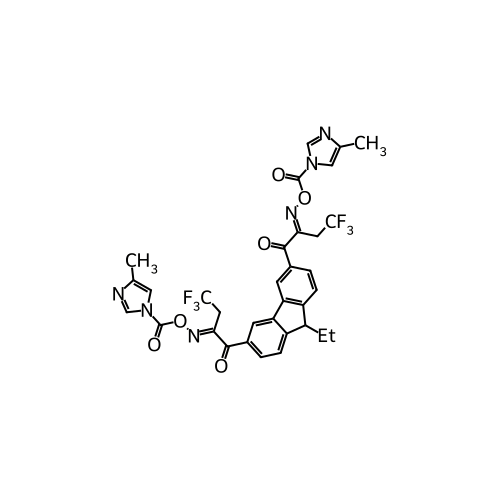 CCC1c2ccc(C(=O)/C(CC(F)(F)F)=N/OC(=O)n3cnc(C)c3)cc2-c2cc(C(=O)/C(CC(F)(F)F)=N/OC(=O)n3cnc(C)c3)ccc21